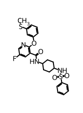 CSc1cccc(Oc2ncc(F)cc2C(=O)NC2CCC(NS(=O)(=O)c3ccccc3)CC2)c1